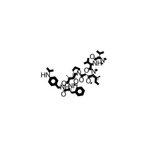 CC[C@H](C)[C@@H]([C@@H](CC(=O)N1CCC[C@H]1[C@H](OC)[C@@H](C)C(=O)N[C@@H](Cc1ccccc1)C(=O)NCc1ccc(NC(C)C)cc1)OC)N(C)C(=O)C(NC(=O)[C@H](C(C)C)N(C)C)C(C)C